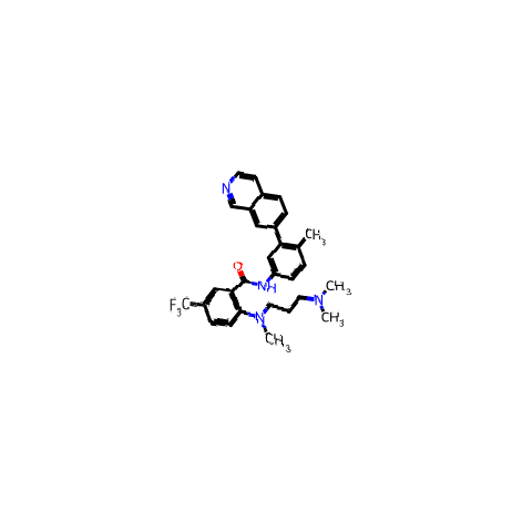 Cc1ccc(NC(=O)c2cc(C(F)(F)F)ccc2N(C)CCCN(C)C)cc1-c1ccc2ccncc2c1